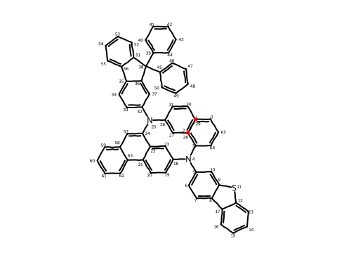 c1ccc(N(c2ccc3c(c2)sc2ccccc23)c2ccc3c(c2)c(N(c2ccccc2)c2ccc4c(c2)C(c2ccccc2)(c2ccccc2)c2ccccc2-4)cc2ccccc23)cc1